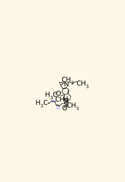 C=C/C=C(C)\C=C/C[SH](C)(=O)N1CCC2=CC3=C(CC2(COC)C1)C1CC1(C)N3CCCC